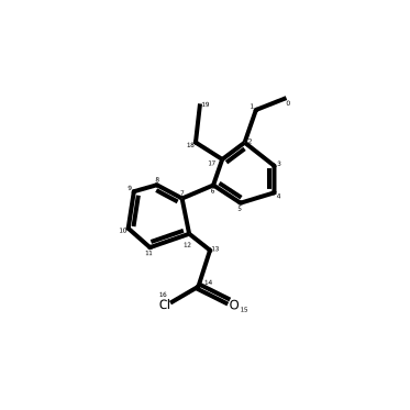 CCc1cccc(-c2ccccc2CC(=O)Cl)c1CC